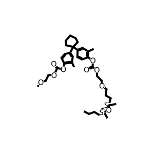 CCCC[Si](C)(C)O[Si](C)(C)CCCOCCOC(=O)Oc1ccc(C2(c3ccc(OC(=O)OCCOC)c(C)c3)CCCCC2)cc1C